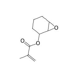 C=C(C)C(=O)OC1CCCC2OC12